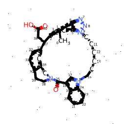 Cc1c2ccc3c1nnn3CCCCCCn1cc(c3ccccc31)C(=O)N1CCc3ccc(cc3C1)C2CC(=O)O